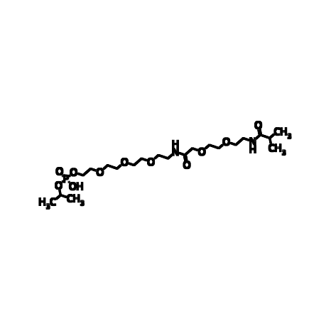 CC(C)OP(=O)(O)OCCOCCOCCOCCNC(=O)COCCOCCNC(=O)C(C)C